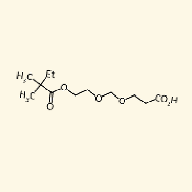 CCC(C)(C)C(=O)OCCOCOCCC(=O)O